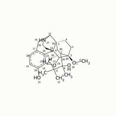 CO[C@]12CC[C@@]3(C[C@@H]1C(C)(O)C(C)(C)C)C1Cc4ccc(O)c5c4[C@@]3(CCN1)C2O5